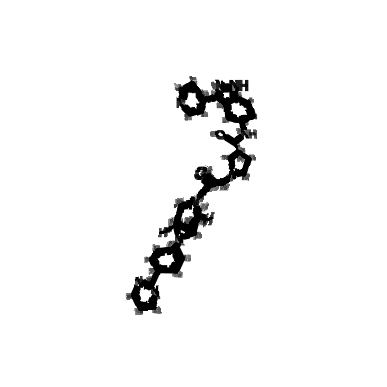 O=C(Nc1ccc2[nH]nc(-c3ccncc3)c2c1)[C@@H]1CCN(CC(=O)N2C[C@@H]3C[C@H]2CN3c2ccc(-c3ncccn3)cc2)C1